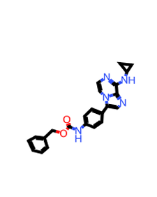 O=C(Nc1ccc(-c2cnc3c(NC4CC4)nccn23)cc1)OCc1ccccc1